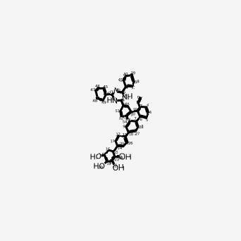 C=Cc1cccc(-c2ccc(-c3ccc(C4CC(O)=C(O)C(O)=C4O)cc3)cc2)c1-c1cc(C2NC(c3ccccc3)=NC(c3ccccc3)N2)ccc1C